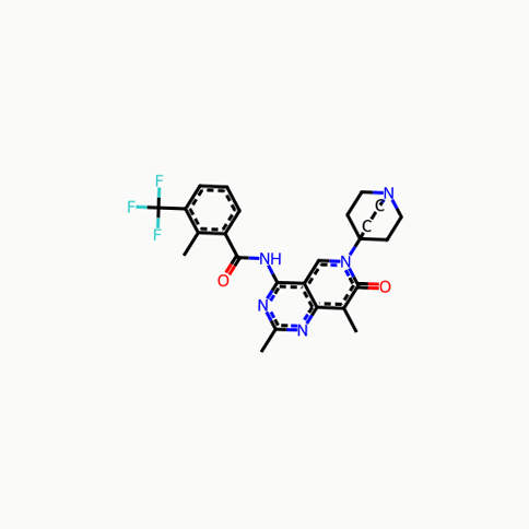 Cc1nc(NC(=O)c2cccc(C(F)(F)F)c2C)c2cn(C34CCN(CC3)CC4)c(=O)c(C)c2n1